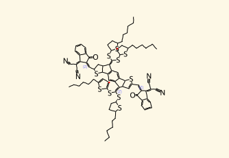 CCCCCCc1ccc(S/C(SC2CCC(CCCCCC)S2)=C2\c3cc4c(cc3C3SC(/C=C5\C(=O)c6ccccc6C5=C(C#N)C#N)=CC23)C(=C(SC2CCC(CCCCCC)S2)SC2CCC(CCCCCC)S2)C2CC(/C=C3\C(=O)c5ccccc5C3=C(C#N)C#N)SC42)s1